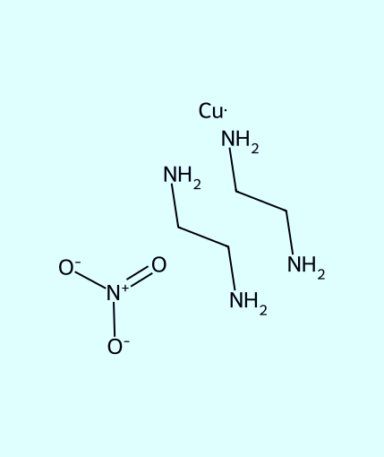 NCCN.NCCN.O=[N+]([O-])[O-].[Cu]